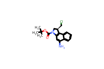 CC(C)(C)OC(=O)N1C[C@@H](CCl)c2c1cc(N)c1ccccc21